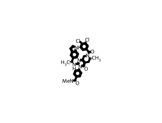 CNC(=O)c1ccc(-n2c(N[C@@H](C)c3ccc4[nH]ccc4c3)nc3c(c2=O)C[C@@H](C)N(C(=O)c2ccc(Cl)c(Cl)c2)C3)cc1